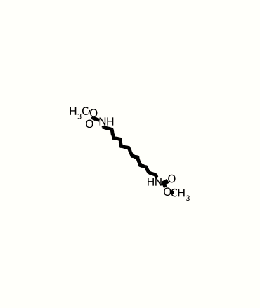 COC(=O)NCCCCCCCCCCCCNC(=O)OC